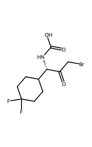 O=C(O)N[C@H](C(=O)CBr)C1CCC(F)(F)CC1